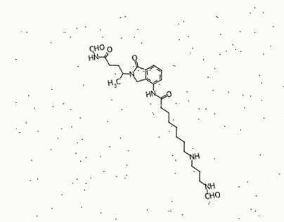 CC(CCC(=O)NC=O)N1Cc2c(NC(=O)CCCCCCCNCCCNC=O)cccc2C1=O